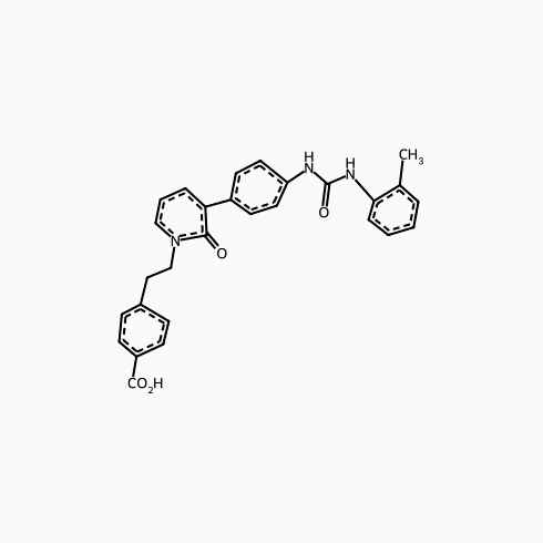 Cc1ccccc1NC(=O)Nc1ccc(-c2cccn(CCc3ccc(C(=O)O)cc3)c2=O)cc1